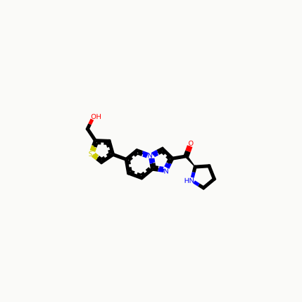 O=C(c1cn2cc(-c3csc(CO)c3)ccc2n1)[C@H]1CCCN1